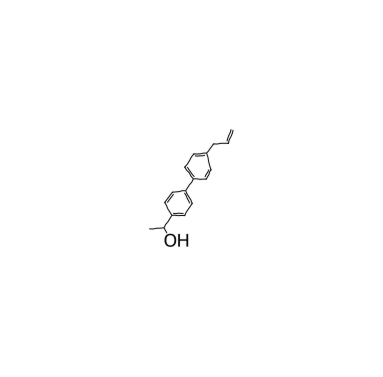 C=CCc1ccc(-c2ccc(C(C)O)cc2)cc1